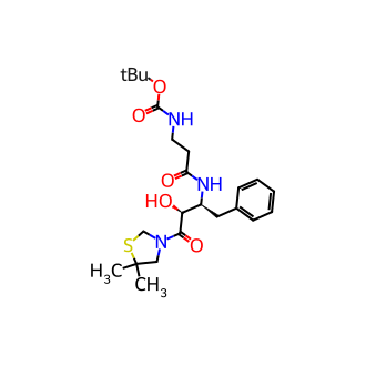 CC(C)(C)OC(=O)NCCC(=O)N[C@@H](Cc1ccccc1)[C@H](O)C(=O)N1CSC(C)(C)C1